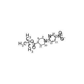 CC(C)(C)OC(=O)C1CCN(c2ccc([N+](=O)[O-])cn2)CC1